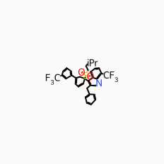 CC(C)CCS(=O)(=O)C1(c2c(Cc3ccccc3)cnc3c(C(F)(F)F)cccc23)C=CC=C(c2cccc(C(F)(F)F)c2)C1